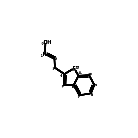 ON=CCc1cc2ccccc2s1